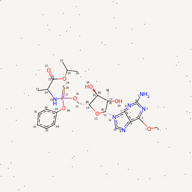 COc1nc(N)nc2c1ncn2[C@@H]1O[C@H](COP(=S)(NC(C)C(=O)OC(C)C)Oc2ccccc2)[C@@H](O)[C@@]1(C)O